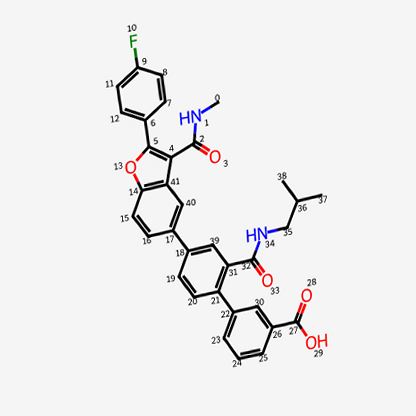 CNC(=O)c1c(-c2ccc(F)cc2)oc2ccc(-c3ccc(-c4cccc(C(=O)O)c4)c(C(=O)NCC(C)C)c3)cc12